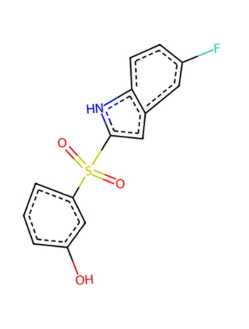 O=S(=O)(c1cccc(O)c1)c1cc2cc(F)ccc2[nH]1